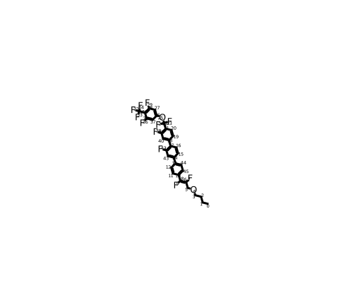 CCCCOC/C(F)=C(\F)c1ccc(-c2ccc(-c3ccc(C(F)(F)Oc4cc(F)c(C(F)(F)F)c(F)c4)c(F)c3)c(F)c2)cc1